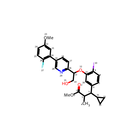 COC(=O)C(C)C(c1ccc(I)c(OC(CO)c2ccc(-c3cc(OC)ccc3F)cn2)c1)C1CC1